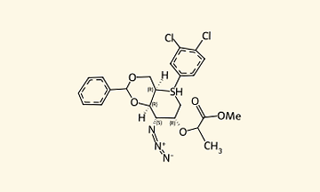 COC(=O)C(C)O[C@H]1C[SH](c2ccc(Cl)c(Cl)c2)[C@@H]2COC(c3ccccc3)O[C@@H]2[C@H]1N=[N+]=[N-]